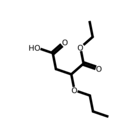 CCCOC(CC(=O)O)C(=O)OCC